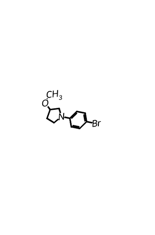 COC1CCN(c2ccc(Br)cc2)C1